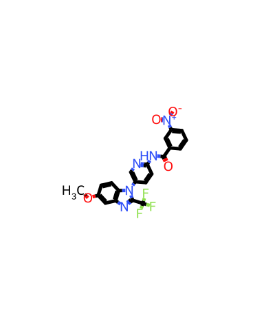 COc1ccc2c(c1)nc(C(F)(F)F)n2-c1ccc(NC(=O)c2cccc([N+](=O)[O-])c2)nc1